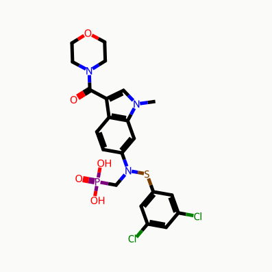 Cn1cc(C(=O)N2CCOCC2)c2ccc(N(CP(=O)(O)O)Sc3cc(Cl)cc(Cl)c3)cc21